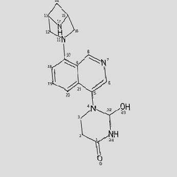 O=C1CCN(c2cncc3c(N4CC5CC(C4)N5)cccc23)C(O)N1